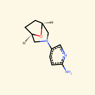 Nc1ccc(N2C[C@H]3CC[C@@H](C2)O3)cn1